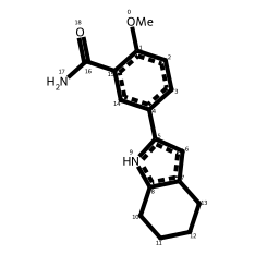 COc1ccc(-c2cc3c([nH]2)CCCC3)cc1C(N)=O